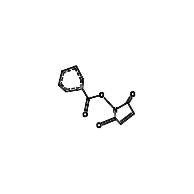 O=C(ON1C(=O)C=CC1=O)c1ccccc1